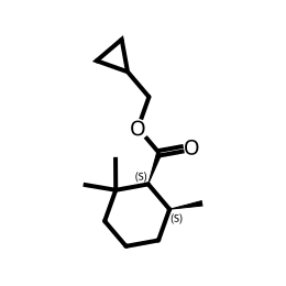 C[C@H]1CCCC(C)(C)[C@H]1C(=O)OCC1CC1